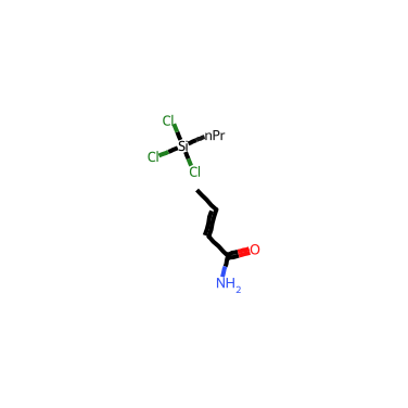 CC=CC(N)=O.CCC[Si](Cl)(Cl)Cl